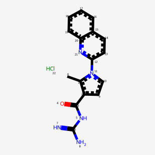 Cc1c(C(=O)NC(=N)N)ccn1-c1ccc2ccccc2n1.Cl